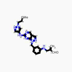 C=C(C=O)CNc1cccc(Cn2ncc3cnc(Nc4cnn(CCOC)c4)nc32)c1